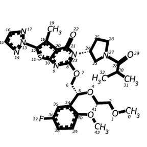 COCCO[C@@H](COc1nc2sc(-n3nccn3)c(C)c2c(=O)n1[C@@H]1CCN(C(=O)C(C)C)C1)c1cc(F)ccc1OC